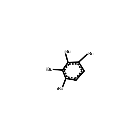 CCC(C)c1ccc(C(C)CC)c(C(C)CC)c1C(C)CC